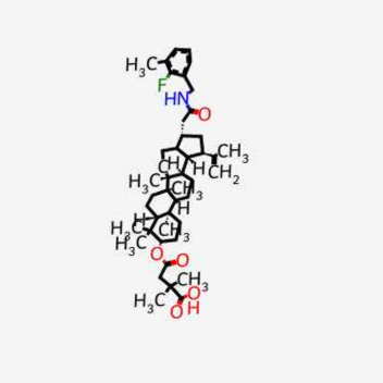 C=C(C)[C@@H]1C[C@@H](CC(=O)NCc2cccc(C)c2F)C2CC[C@]3(C)[C@H](CC[C@@H]4[C@@]5(C)CC[C@H](OC(=O)CC(C)(C)C(=O)O)C(C)(C)[C@@H]5CC[C@]43C)[C@H]21